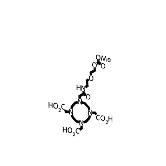 COC(=O)OCCOCCNC(=O)CN1CCN(CC(=O)O)CCN(CC(=O)O)CCN(CC(=O)O)CC1